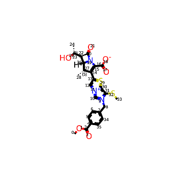 COC(=O)c1ccc(Cn2c[n+]3cc(C4=C(C(=O)[O-])N5C(=O)[C@H]([C@@H](C)O)[C@H]5[C@H]4C)sc3c2SC)cc1